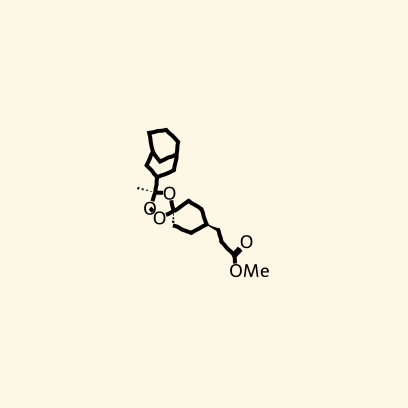 COC(=O)CC[C@H]1CC[C@]2(CC1)OO[C@@](C)(C1CC3CCCC(C3)C1)O2